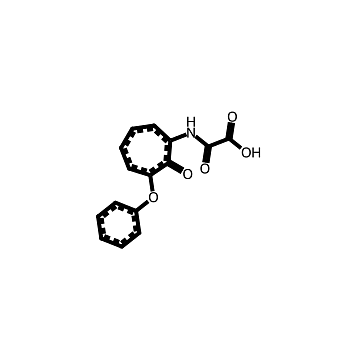 O=C(O)C(=O)Nc1ccccc(Oc2ccccc2)c1=O